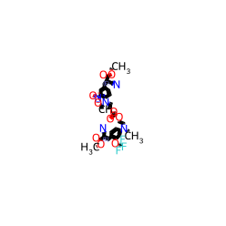 CCOC(=O)/C(C#N)=C/c1ccc(N(CC)CCOC(=O)OCCN(CC)c2ccc(/C=C(\C#N)C(=O)OC)c(OC(F)(F)F)c2)c([N+](=O)[O-])c1